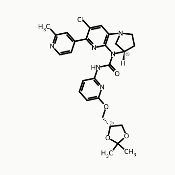 Cc1cc(-c2nc3c(cc2Cl)N2CC[C@@H](C2)N3C(=O)Nc2cccc(OC[C@@H]3COC(C)(C)O3)n2)ccn1